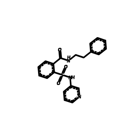 O=C(NCCc1ccccc1)c1ccccc1S(=O)(=O)Nc1cccnc1